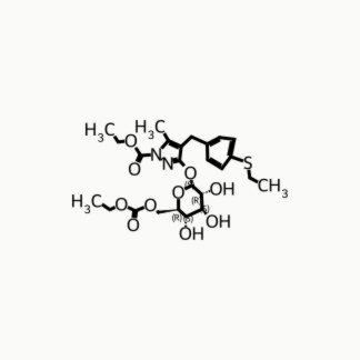 CCOC(=O)OC[C@H]1O[C@@H](Oc2nn(C(=O)OCC)c(C)c2Cc2ccc(SCC)cc2)[C@H](O)[C@@H](O)[C@@H]1O